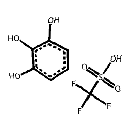 O=S(=O)(O)C(F)(F)F.Oc1cccc(O)c1O